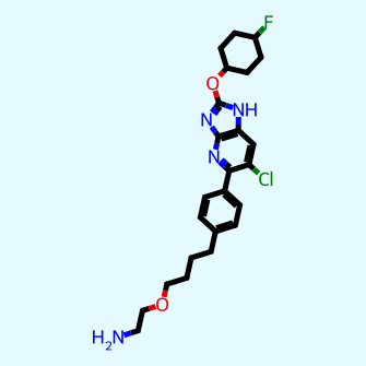 NCCOCCCCc1ccc(-c2nc3nc(OC4CCC(F)CC4)[nH]c3cc2Cl)cc1